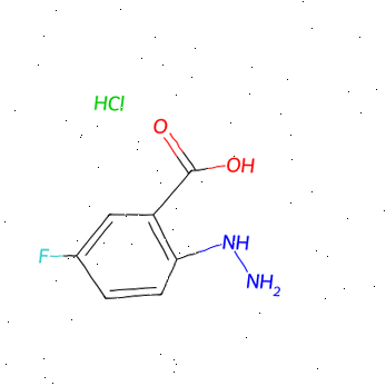 Cl.NNc1ccc(F)cc1C(=O)O